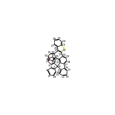 c1ccc(C2(c3ccccc3)c3ccccc3-c3ccc4c5sc6ccccc6c5c5ccccc5c4c32)cc1